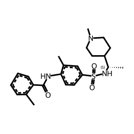 Cc1cc(S(=O)(=O)N[C@@H](C)C2CCN(C)CC2)ccc1NC(=O)c1ccccc1C